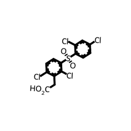 O=C(O)Cc1c(Cl)ccc(S(=O)(=O)c2ccc(Cl)cc2Cl)c1Cl